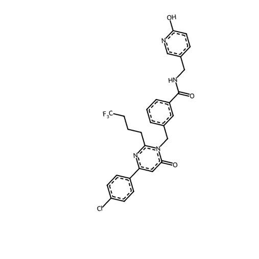 O=C(NCc1ccc(O)nc1)c1cccc(Cn2c(CCCC(F)(F)F)nc(-c3ccc(Cl)cc3)cc2=O)c1